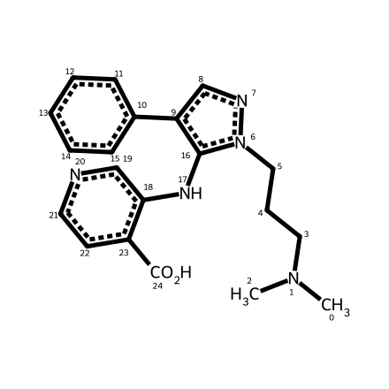 CN(C)CCCn1ncc(-c2ccccc2)c1Nc1cnccc1C(=O)O